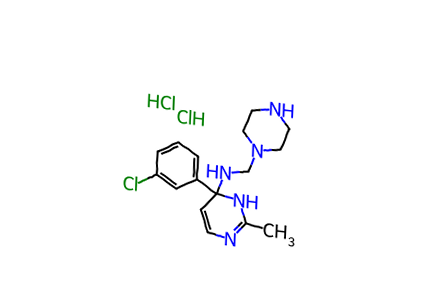 CC1=NC=CC(NCN2CCNCC2)(c2cccc(Cl)c2)N1.Cl.Cl